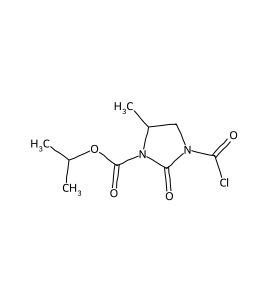 CC(C)OC(=O)N1C(=O)N(C(=O)Cl)CC1C